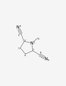 CN1C(C#N)CCC1C#N